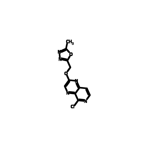 Cc1nnc(COc2cnc3c(Cl)nccc3n2)o1